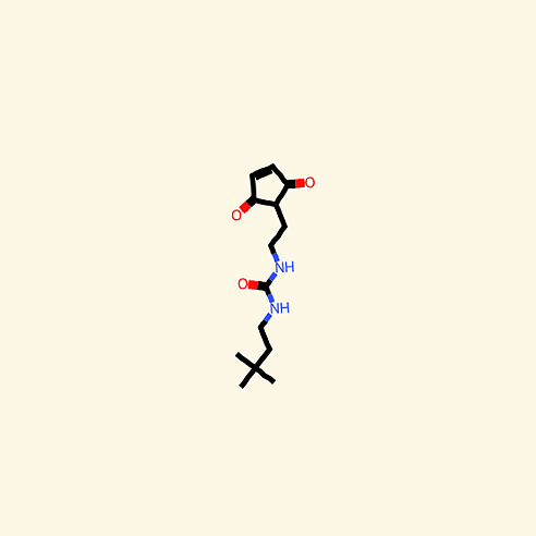 CC(C)(C)CCNC(=O)NCCC1C(=O)C=CC1=O